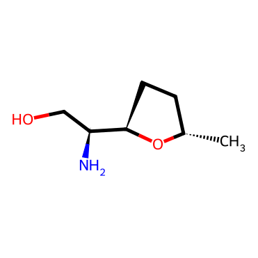 C[C@H]1CC[C@H]([C@@H](N)CO)O1